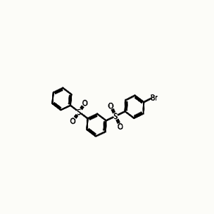 O=S(=O)(c1ccccc1)c1cccc(S(=O)(=O)c2ccc(Br)cc2)c1